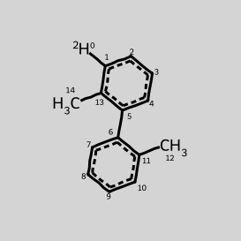 [2H]c1cccc(-c2ccccc2C)c1C